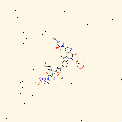 COC(=O)C12CC(CN(C(=O)[C@@H](NC(=O)OC(C)(C)C)[C@@H](c3nc(-c4ccc5c(c4)c(CC(C)(C)CO)c(-c4cc(N6CCN(C7CC7)CC6)cnc4[C@H](C)OC)n5CCO[C@H]4CCOC(C)(C)C4)co3)N3CC4(COC4)C3)N1)C2